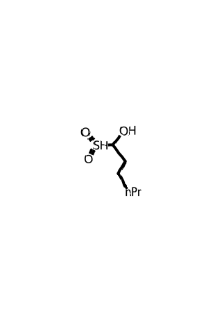 CCCCCC(O)[SH](=O)=O